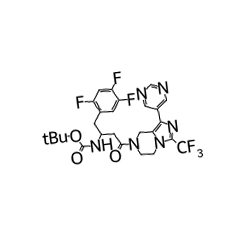 CC(C)(C)OC(=O)NC(CC(=O)N1CCn2c(C(F)(F)F)nc(-c3cncnc3)c2C1)Cc1cc(F)c(F)cc1F